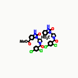 COC(=O)c1ccc2[nH]c(=O)n([C@@H]3CCN(C(=O)c4ccc(Cl)cc4Cl)C3)c2c1.O=C(O)c1ccc2[nH]c(=O)n([C@@H]3CCN(C(=O)c4ccc(Cl)cc4Cl)C3)c2c1